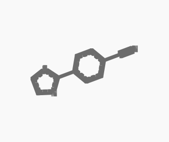 N#Cc1ccc(-c2nccs2)cc1